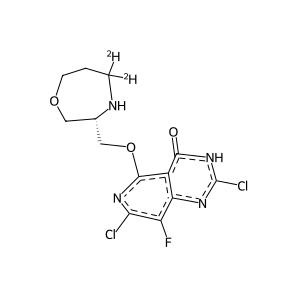 [2H]C1([2H])CCOC[C@@H](COc2nc(Cl)c(F)c3nc(Cl)[nH]c(=O)c23)N1